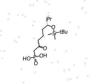 CC(C)[C@@H](CCCC(=O)CP(=O)(O)O)O[Si](C)(C)C(C)(C)C